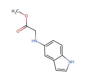 COC(=O)CNc1ccc2[nH]ccc2c1